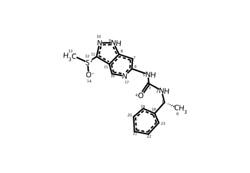 C[C@@H](NC(=O)Nc1cc2[nH]nc([S+](C)[O-])c2cn1)c1ccccc1